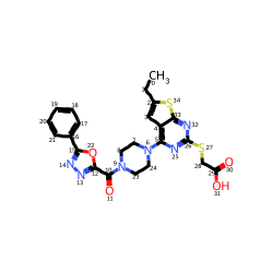 CCc1cc2c(N3CCN(C(=O)c4nnc(-c5ccccc5)o4)CC3)nc(SCC(=O)O)nc2s1